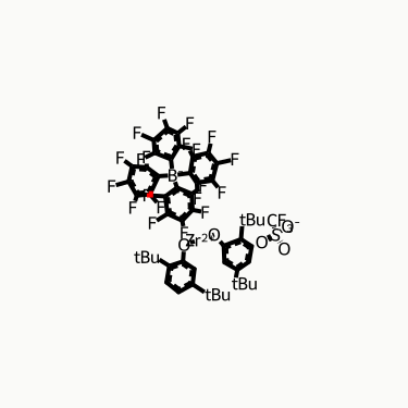 CC(C)(C)c1ccc(C(C)(C)C)c([O][Zr+2][O]c2cc(C(C)(C)C)ccc2C(C)(C)C)c1.Fc1c(F)c(F)c([B-](c2c(F)c(F)c(F)c(F)c2F)(c2c(F)c(F)c(F)c(F)c2F)c2c(F)c(F)c(F)c(F)c2F)c(F)c1F.O=S(=O)([O-])C(F)(F)F